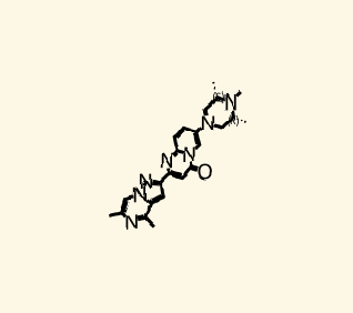 Cc1cn2nc(-c3cc(=O)n4cc(N5C[C@@H](C)N(C)[C@@H](C)C5)ccc4n3)cc2c(C)n1